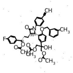 C#Cc1ccc(N2C(=O)[C@H](CC[C@H](OC(C)=O)c3ccc(F)cc3)[C@H]2c2cc(C(O)(COC(C)=O)COC(C)=O)ccc2OCc2cccc(C)c2)cc1